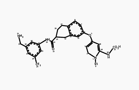 CCN1CC=C(Oc2ccc3c(c2)CC(C(=O)Nc2cc(CN)cc(C(F)(F)F)c2)CC3)C=C1NC(=O)O